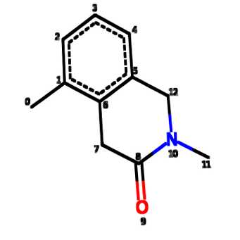 Cc1cccc2c1CC(=O)N(C)C2